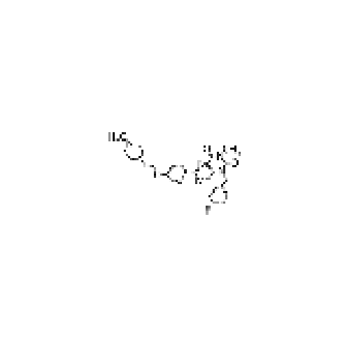 CN1CCN(CCOc2ccc(-c3ncc4c(n3)c(=O)n(C)c(=O)n4Cc3ccc(F)cc3)cc2)CC1